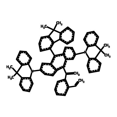 C=Cc1ccccc1C(=C)c1c2cc(N3c4ccccc4C(C)(C)c4ccccc43)ccc2c(-c2cccc3c2-c2ccccc2C3(C)C)c2cc(N3c4ccccc4C(C)(C)c4ccccc43)ccc12